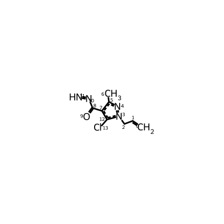 C=CCn1nc(C)c(C(=O)N=N)c1Cl